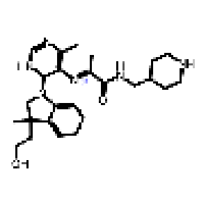 CC1=C(/N=C(\C)C(=O)NCC2CCNCC2)C(N2CC(C)(CCO)C3=CCCC=C32)NC=N1